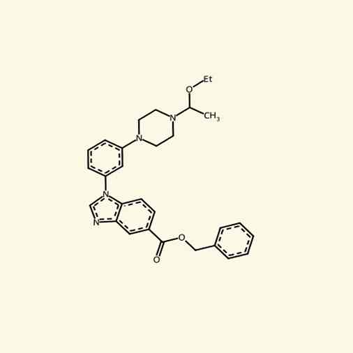 CCOC(C)N1CCN(c2cccc(-n3cnc4cc(C(=O)OCc5ccccc5)ccc43)c2)CC1